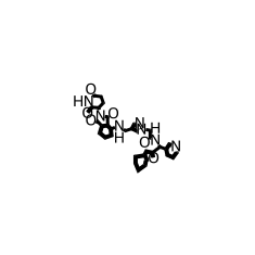 O=C1CCC(N2C(=O)c3cccc(NCc4cnn(CC(=O)NC(c5cccnc5)c5cc6ccccc6o5)c4)c3C2=O)C(=O)N1